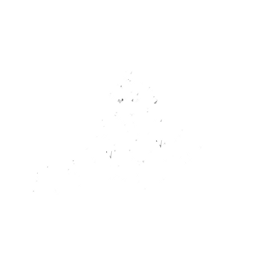 c1ccc(-c2ccc(N(c3ccc(-c4ccccc4)cc3)c3ccc4ccc5c6ccccc6n(-c6ccc7c(c6)sc6ccccc67)c5c4c3)cc2)cc1